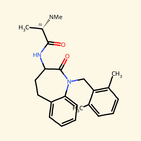 CN[C@@H](C)C(=O)NC1CCc2ccccc2N(Cc2c(C)cccc2C)C1=O